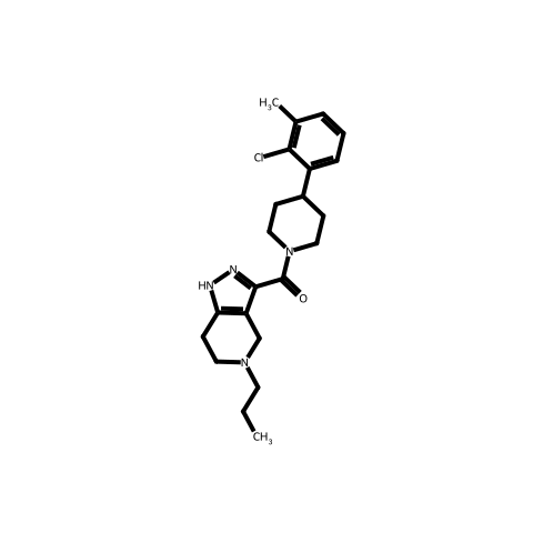 CCCN1CCc2[nH]nc(C(=O)N3CCC(c4cccc(C)c4Cl)CC3)c2C1